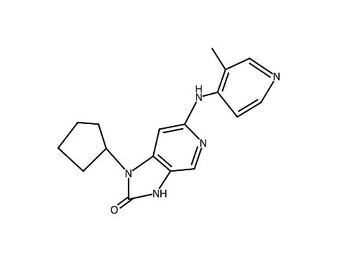 Cc1cnccc1Nc1cc2c(cn1)[nH]c(=O)n2C1CCCC1